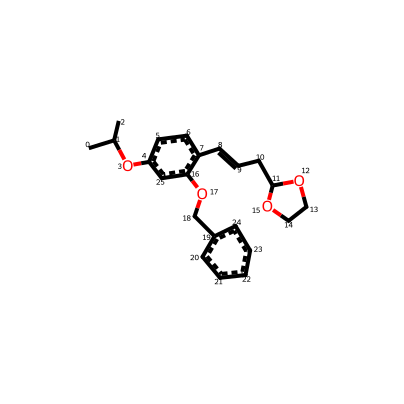 CC(C)Oc1ccc(C=CCC2OCCO2)c(OCc2ccccc2)c1